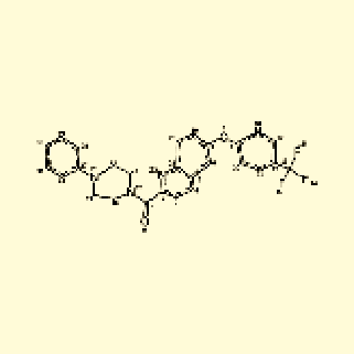 O=C(c1ccc2cc(Oc3ccc(C(F)(F)F)cn3)ccc2n1)N1CCN(c2ccccc2)CC1